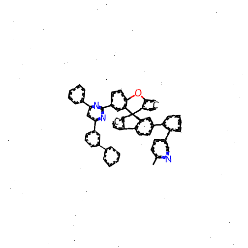 Cc1ccc(-c2ccccc2-c2ccc3c(c2)C2(c4ccccc4Oc4ccc(-c5nc(-c6ccccc6)cc(-c6cccc(-c7ccccc7)c6)n5)cc42)c2ccccc2-3)cn1